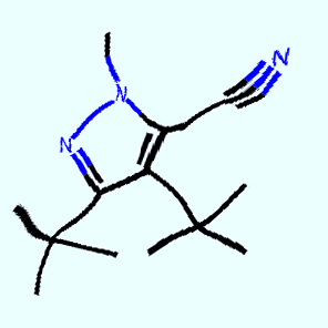 Cn1nc(C(C)(C)C)c(C(C)(C)C)c1C#N